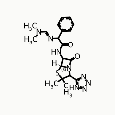 CN(C)C=NC(C(=O)NC1C(=O)N2C(c3nnn[nH]3)C(C)(C)S[C@@H]12)c1ccccc1